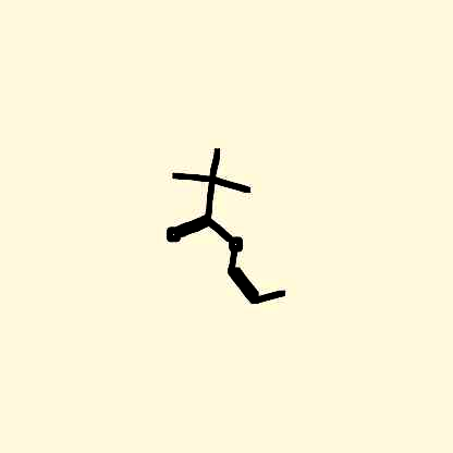 C/C=C\OC(=O)C(C)(C)C